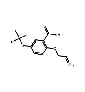 C=CCOc1ccc(OC(F)(F)F)cc1C(=O)O